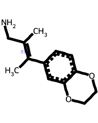 C/C(CN)=C(/C)c1ccc2c(c1)OCCO2